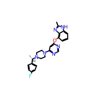 Cc1nc2c(Oc3cc(N4CCN([C@@H](C)c5ccc(F)cc5)CC4)ncn3)cccc2[nH]1